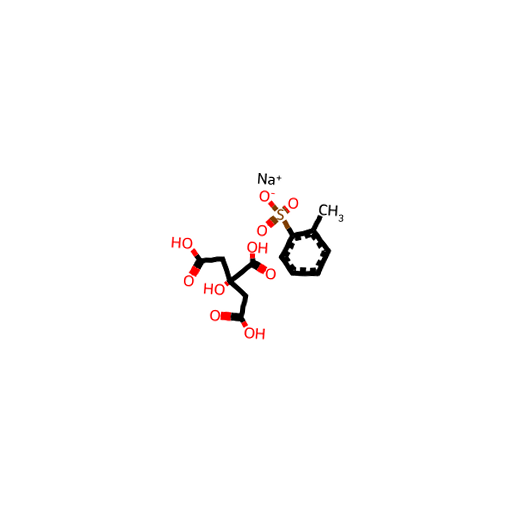 Cc1ccccc1S(=O)(=O)[O-].O=C(O)CC(O)(CC(=O)O)C(=O)O.[Na+]